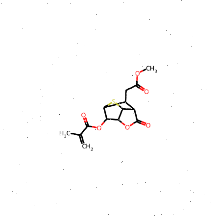 C=C(C)C(=O)OC1C2OC(=O)C3C(CC(=O)OC)C1SC23